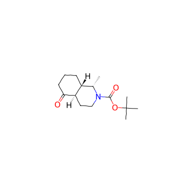 C[C@H]1[C@H]2CCCC(=O)[C@@H]2CCN1C(=O)OC(C)(C)C